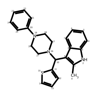 Cc1[nH]c2ccccc2c1C(c1cccs1)N1CCN(c2ccccc2)CC1